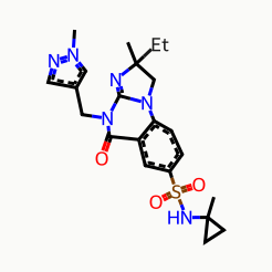 CCC1(C)CN2C(=N1)N(Cc1cnn(C)c1)C(=O)c1cc(S(=O)(=O)NC3(C)CC3)ccc12